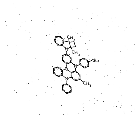 Cc1cc2c3c(c1)N(c1ccc(C(C)(C)C)cc1)c1cc(N4c5ccccc5C5(C)CCC45C)ccc1B3c1ccccc1N2c1ccccc1